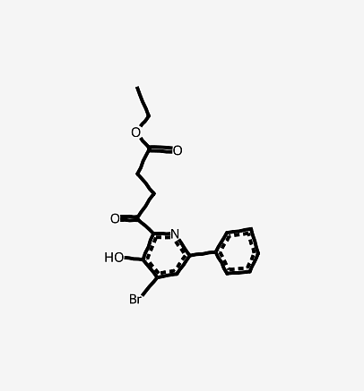 CCOC(=O)CCC(=O)c1nc(-c2ccccc2)cc(Br)c1O